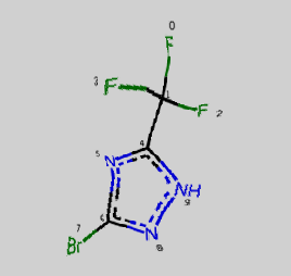 FC(F)(F)c1nc(Br)n[nH]1